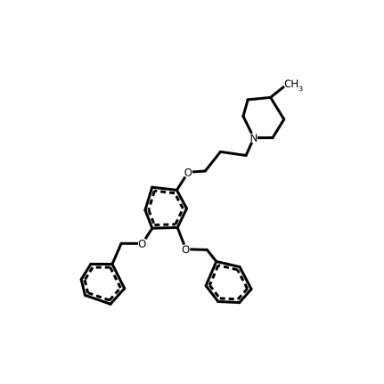 CC1CCN(CCCOc2ccc(OCc3ccccc3)c(OCc3ccccc3)c2)CC1